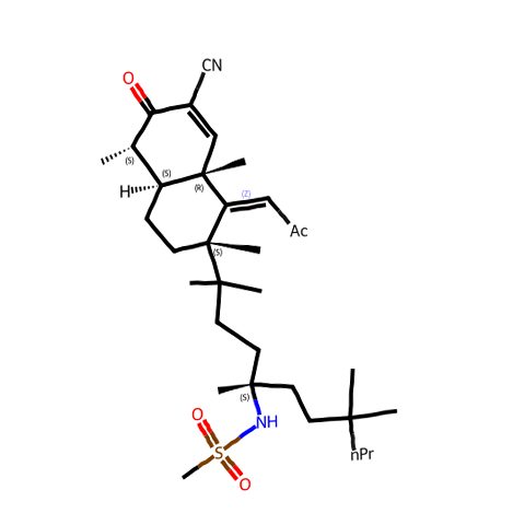 CCCC(C)(C)CC[C@@](C)(CCC(C)(C)[C@]1(C)CC[C@H]2[C@H](C)C(=O)C(C#N)=C[C@]2(C)/C1=C/C(C)=O)NS(C)(=O)=O